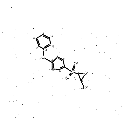 CCCC1SC1S(=O)(=O)c1ccc(Oc2ccccc2)cc1